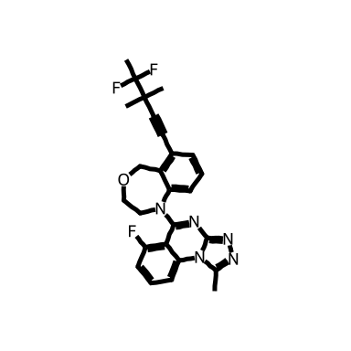 Cc1nnc2nc(N3CCOCc4c(C#CC(C)(C)C(C)(F)F)cccc43)c3c(F)cccc3n12